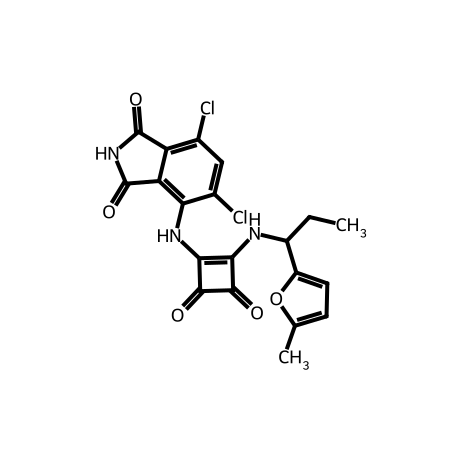 CCC(Nc1c(Nc2c(Cl)cc(Cl)c3c2C(=O)NC3=O)c(=O)c1=O)c1ccc(C)o1